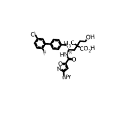 CCCc1cc(C(=O)N[C@H](Cc2ccc(-c3cc(Cl)ccc3F)cc2)CC(C)(CCO)C(=O)O)on1